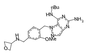 CCCCNc1nc(N)nc2cnn(Cc3ccc(CNC4COC4)cc3OC)c12